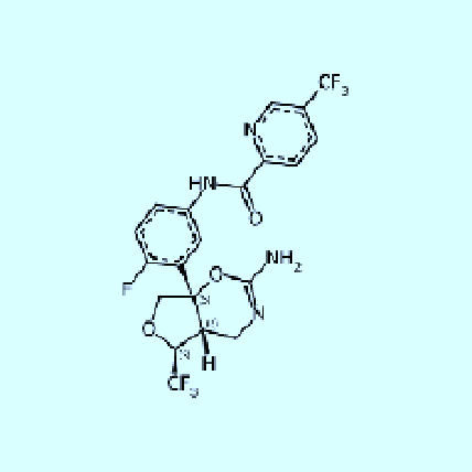 NC1=NC[C@@H]2[C@@H](C(F)(F)F)OC[C@]2(c2cc(NC(=O)c3ccc(C(F)(F)F)cn3)ccc2F)O1